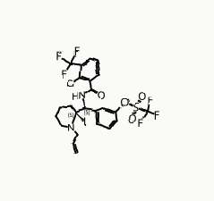 C=CCN1CCCC[C@]1(I)[C@@H](NC(=O)c1cccc(C(F)(F)F)c1Cl)c1cccc(OS(=O)(=O)C(F)(F)F)c1